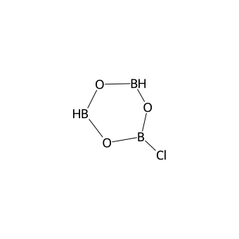 ClB1OBOBO1